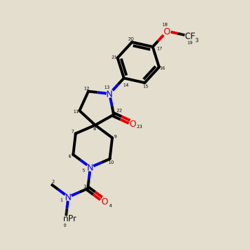 CCCN(C)C(=O)N1CCC2(CC1)CCN(c1ccc(OC(F)(F)F)cc1)C2=O